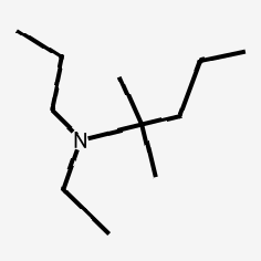 CCCN(CC)C(C)(C)CCC